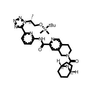 C[C@H](CO[Si](C)(C)C(C)(C)C)n1nnnc1-c1cccc(NC(=O)c2cc3c(cn2)CCN(C(=O)N2[C@@H]4CCC[C@H]2CC4)C3)n1